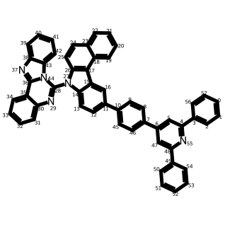 c1ccc(-c2cc(-c3ccc(-c4ccc5c(c4)c4c6ccccc6ccc4n5-c4nc5ccccc5c5nc6ccccc6n45)cc3)cc(-c3ccccc3)n2)cc1